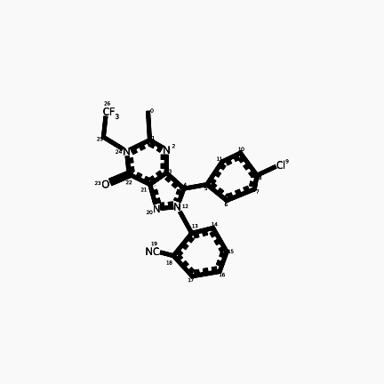 Cc1nc2c(-c3ccc(Cl)cc3)n(-c3ccccc3C#N)nc2c(=O)n1CC(F)(F)F